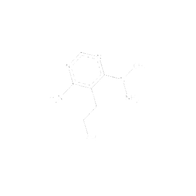 CCCc1c(N)ncnc1N(C)N